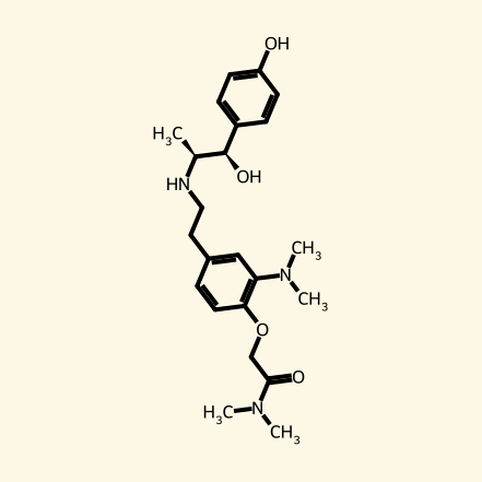 C[C@H](NCCc1ccc(OCC(=O)N(C)C)c(N(C)C)c1)[C@H](O)c1ccc(O)cc1